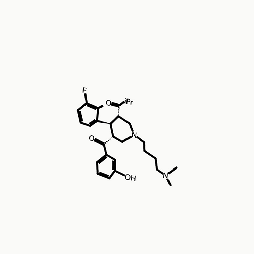 Cc1c(F)cccc1[C@@H]1[C@@H](C(=O)c2cccc(O)c2)CN(CCCCN(C)C)C[C@H]1C(=O)C(C)C